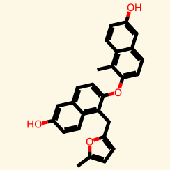 Cc1ccc(Cc2c(Oc3ccc4cc(O)ccc4c3C)ccc3cc(O)ccc23)o1